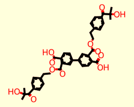 CC(C)(O)C(=O)c1ccc(CCOC(=O)c2cc(-c3ccc(C(=O)O)c(C(=O)OCCc4ccc(C(=O)C(C)(C)O)cc4)c3)ccc2C(=O)O)cc1